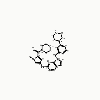 Cn1cc(Nc2ncc3cnn(Cc4cccc(N5CCOCC5)c4)c3n2)cc1C(=O)N1CCOCC1